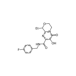 CCC1OCCn2c1nc(C(=O)NCc1ccc(F)cc1)c(O)c2=O